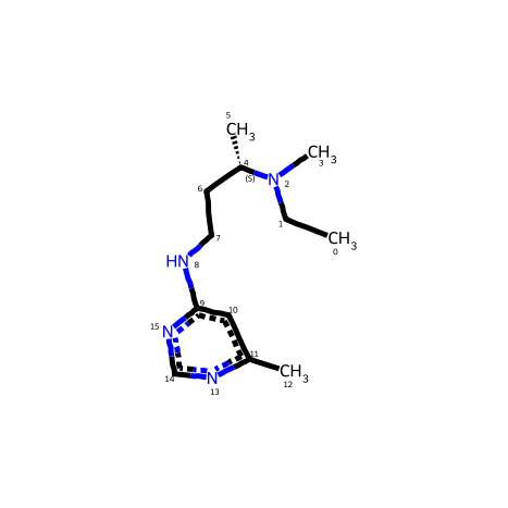 CCN(C)[C@@H](C)CCNc1cc(C)ncn1